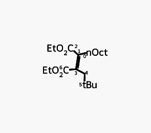 CCCCCCCCC(C(=O)OCC)=C(CC(C)(C)C)C(=O)OCC